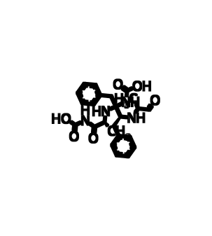 CC(C=O)N[C@@H](Cc1ccccc1)C(Cc1ccccc1)(NC(=O)O)N[C@@H](C)C(=O)NC(=O)O